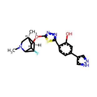 CN1C[C@@]2(C)CCC1C(F)[C@@H]2Oc1nnc(-c2ccc(-c3cn[nH]c3)cc2O)s1